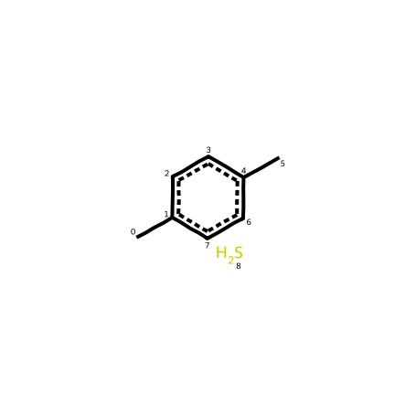 Cc1ccc(C)cc1.S